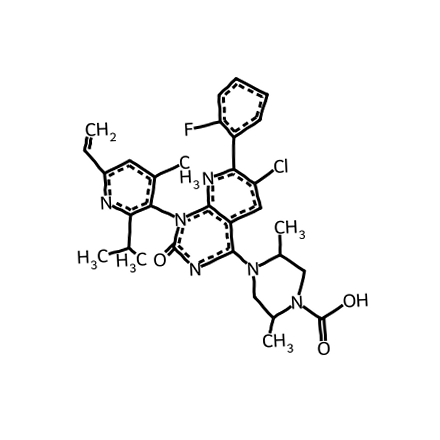 C=Cc1cc(C)c(-n2c(=O)nc(N3CC(C)N(C(=O)O)CC3C)c3cc(Cl)c(-c4ccccc4F)nc32)c(C(C)C)n1